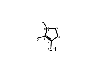 CC1=C(S)CCN1C